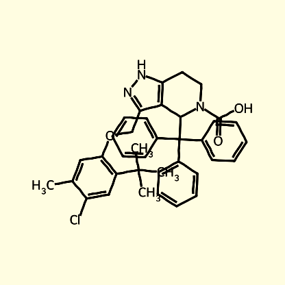 Cc1cc(OCc2n[nH]c3c2C(C(c2ccccc2)(c2ccccc2)c2ccccc2)N(C(=O)O)CC3)c(C(C)(C)C)cc1Cl